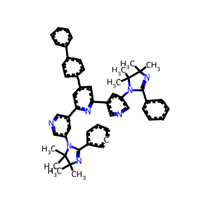 CC1(C)N=C(c2ccccc2)N(c2cncc(-c3cc(-c4ccc(-c5ccccc5)cc4)cc(-c4cncc(N5C(c6ccccc6)=NC(C)(C)C5(C)C)c4)n3)c2)C1(C)C